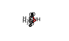 COc1cc2c(cc1C=CC1NCCc3cc(OCc4ccccc4)c(OC)cc31)OCCO2